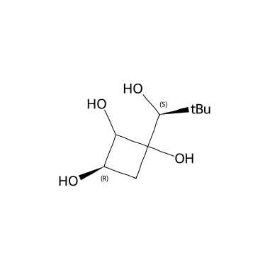 CC(C)(C)[C@H](O)C1(O)C[C@@H](O)C1O